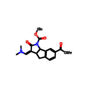 COC(=O)c1ccc2c(c1)C1C(C2)C(=CN(C)C)C(=O)N1C(=O)OC(C)(C)C